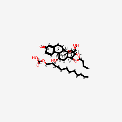 CCCC1O[C@@H]2C[C@H]3[C@@H]4CCC5=CC(=O)C=C[C@]5(C)[C@H]4[C@@H](O)C[C@]3(C)[C@]2(C(=O)CO)O1.CCCCCCCCCCCCOC(=O)O